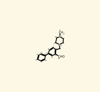 CN1CCN(Cc2ccc(-c3ccccc3)cc2C=O)CC1